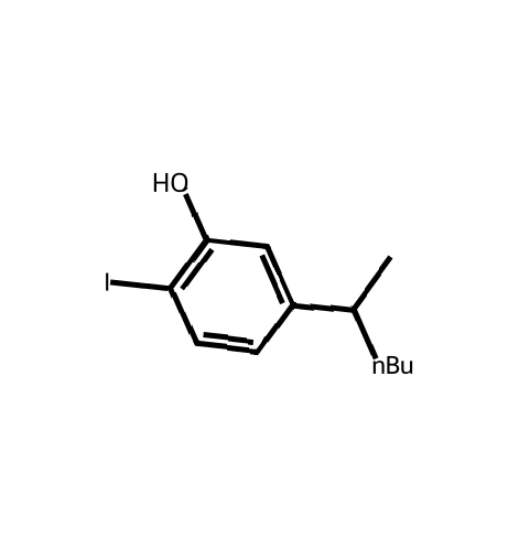 CCCCC(C)c1ccc(I)c(O)c1